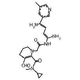 Cc1cncc(/C(N)=C/C=C(\N)NC(=O)CN2CCCC(C=O)=C2C(=O)N(C)C2CC2)c1